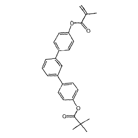 C=C(C)C(=O)Oc1ccc(-c2cccc(-c3ccc(OC(=O)C(C)(C)C)cc3)c2)cc1